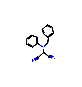 N#CC(C#N)N(Cc1ccccc1)c1ccccc1